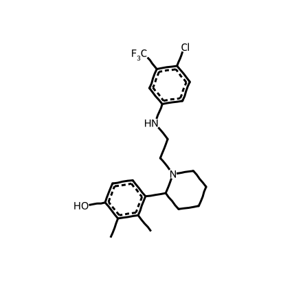 Cc1c(O)ccc(C2CCCCN2CCNc2ccc(Cl)c(C(F)(F)F)c2)c1C